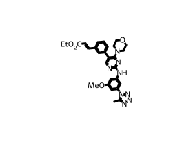 CCOC(=O)C=Cc1cccc(-c2cnc(Nc3cc(OC)cc(-n4nnnc4C)c3)nc2N2CCOCC2)c1